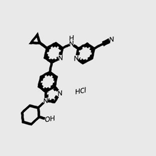 Cl.N#Cc1ccnc(Nc2cc(C3CC3)cc(-c3ccc4c(c3)ncn4C3CCCCC3O)n2)c1